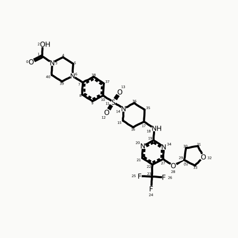 O=C(O)N1CCN(c2ccc(S(=O)(=O)N3CCC(Nc4ncc(C(F)(F)F)c(O[C@H]5CCOC5)n4)CC3)cc2)CC1